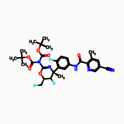 Cc1cc(C#N)cnc1C(=O)Nc1ccc(F)c([C@@]2(C)N=C(N(C(=O)OC(C)(C)C)C(=O)OC(C)(C)C)O[C@H](CF)[C@@H]2F)c1